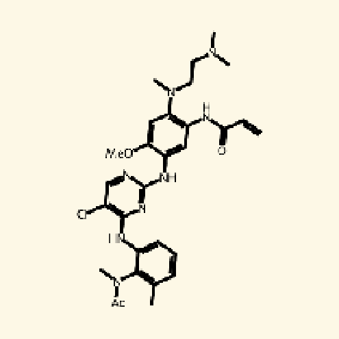 C=CC(=O)Nc1cc(Nc2ncc(Cl)c(Nc3cccc(C)c3N(C)C(C)=O)n2)c(OC)cc1N(C)CCN(C)C